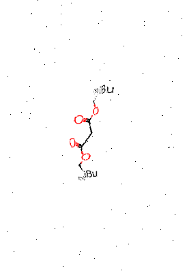 CC[C@H](C)COC(=O)CC(=O)OC[C@@H](C)CC